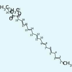 CCC=CCC=CCC=CCC=CCC=CCC=CCC(OC)C(=O)OCC